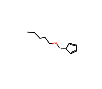 CCCCC[O][Ti][CH]1C=CC=C1